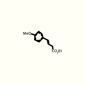 CCOC(=O)C/C=C/c1ccc(OC)cc1